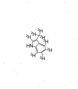 [2H]c1[nH]c2c([2H])c([2H])c([2H])c([2H])c2c1C([2H])([2H])[2H]